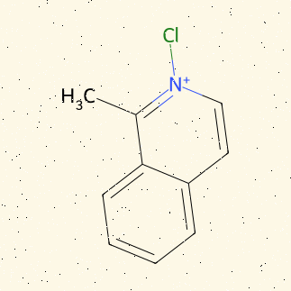 Cc1c2ccccc2cc[n+]1Cl